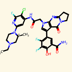 CCN1CCN(c2cc(NC(=O)Cn3cc(-c4cc(C(N)=O)c(O)c(F)c4F)c4c(=O)n5c(nc43)CCC5)c(Cl)c(F)n2)[C@@H](C)C1